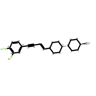 CC[C@H]1CC[C@H](C2CCC(/C=C/C#Cc3ccc(F)c(F)c3)CC2)CC1